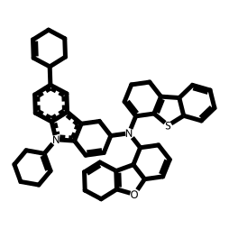 C1=CC2SC3=C(CCC=C3N(C3C=Cc4c(c5cc(C6C=CCCC6)ccc5n4C4=CCCCC4)C3)C3CC=CC4OC5=C(C=CCC5)C43)C2C=C1